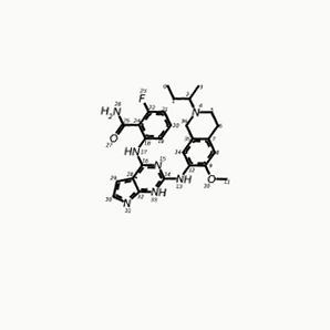 CCC(C)N1CCc2cc(OC)c(Nc3nc(Nc4cccc(F)c4C(N)=O)c4ccnc-4[nH]3)cc2C1